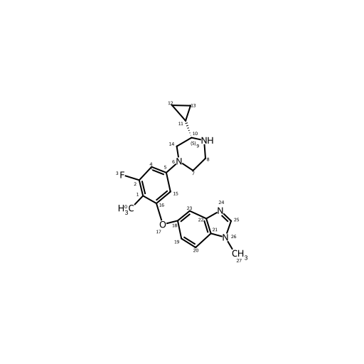 Cc1c(F)[c]c(N2CCN[C@@H](C3CC3)C2)cc1Oc1ccc2c(c1)ncn2C